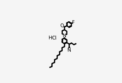 CCCCCCCCCCCCc1ccc(N2CCC(C(=O)c3ccc(F)cc3)CC2)cc1C(C#N)CCC.Cl